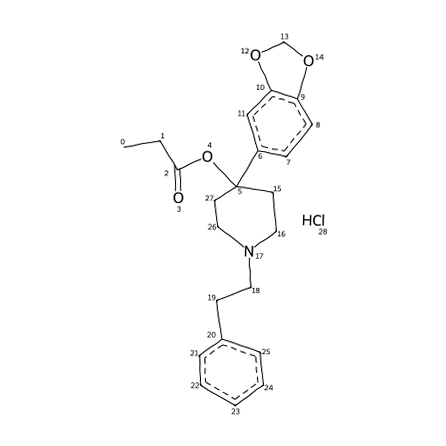 CCC(=O)OC1(c2ccc3c(c2)OCO3)CCN(CCc2ccccc2)CC1.Cl